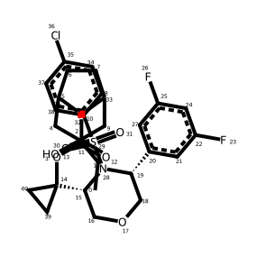 CCC1(O)CC2CCC(C1)N2C(=O)OC1([C@H]2COC[C@@H](c3cc(F)cc(F)c3)N2S(=O)(=O)c2ccc(Cl)cc2)CC1